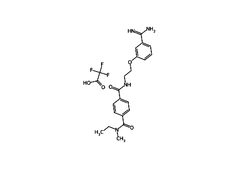 CCN(C)C(=O)c1ccc(C(=O)NCCOc2cccc(C(=N)N)c2)cc1.O=C(O)C(F)(F)F